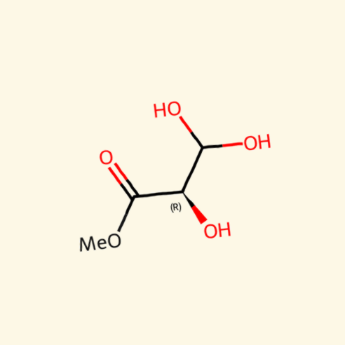 COC(=O)[C@H](O)C(O)O